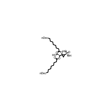 CCCCCCCCCCCCCCCCCC(=O)O[C@@H](CO)C1(OC(=O)CCCCCCCCCCCCCCCCC)CC1P(=O)(O)O